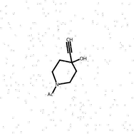 C#CC1(O)CCN(C(C)=O)CC1